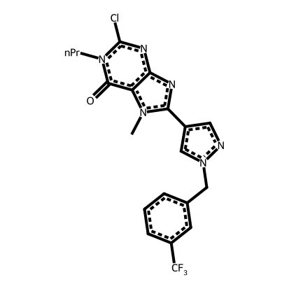 CCCn1c(Cl)nc2nc(-c3cnn(Cc4cccc(C(F)(F)F)c4)c3)n(C)c2c1=O